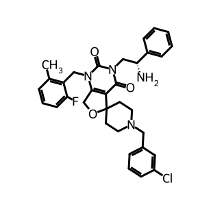 Cc1cccc(F)c1Cn1c2c(c(=O)n(C[C@@H](N)c3ccccc3)c1=O)C1(CCN(Cc3cccc(Cl)c3)CC1)OC2